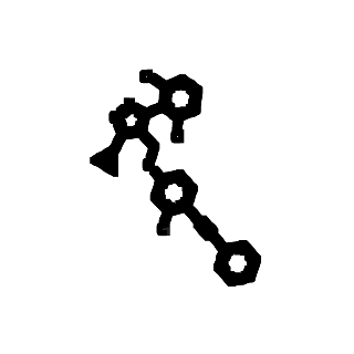 Clc1cc(OCc2c(-c3c(Cl)cccc3Cl)noc2C2CC2)ccc1C#Cc1ccccc1